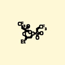 CCC(COS(=O)(=O)CC(F)(F)F)OS(=O)(=O)CC(F)(F)F